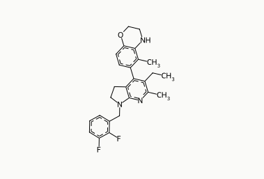 CCc1c(C)nc2c(c1-c1ccc3c(c1C)NCCO3)CCN2Cc1cccc(F)c1F